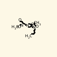 C=C/C=C\C=C\N1CC2(CCN(CCC(=C/C=O)/N=C/OC)CC2)OC(C)C1=O